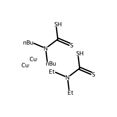 CCCCN(CCCC)C(=S)S.CCN(CC)C(=S)S.[Cu].[Cu]